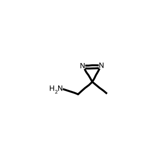 CC1(CN)N=N1